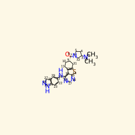 CN(C)C1CCN(C(=O)[C@H]2CCc3c(sc4ncnc(Nc5ccc6[nH]ncc6c5)c34)C2)C1